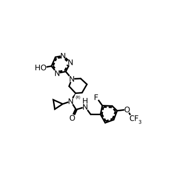 O=C(NCc1ccc(OC(F)(F)F)cc1F)N(C1CC1)[C@@H]1CCCN(c2nncc(O)n2)C1